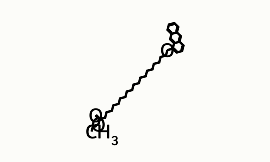 CCOC(=O)CCCCCCCCCCCCCCCCCCCOc1cccc2cc3ccccc3cc12